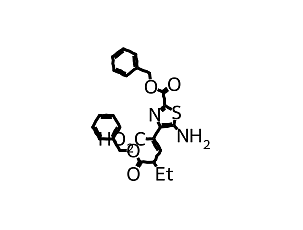 CCC(C=C(C(=O)O)c1nc(C(=O)OCc2ccccc2)sc1N)C(=O)OCc1ccccc1